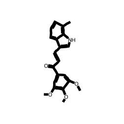 COc1cc(C(=O)C=Cc2c[nH]c3c(C)cccc23)cc(OC)c1OC